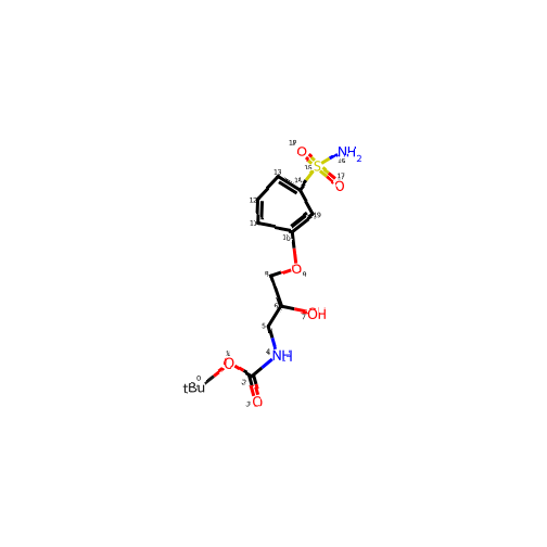 CC(C)(C)OC(=O)NCC(O)COc1cccc(S(N)(=O)=O)c1